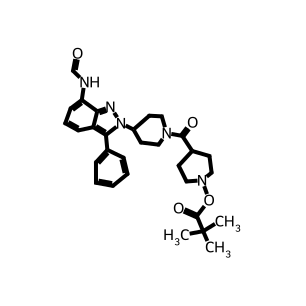 CC(C)(C)C(=O)ON1CCC(C(=O)N2CCC(n3nc4c(NC=O)cccc4c3-c3ccccc3)CC2)CC1